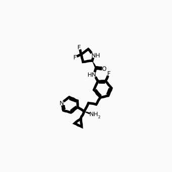 N[C@](CCc1ccc(F)c(NC(=O)[C@H]2CC(F)(F)CN2)c1)(c1ccncc1)C1CC1